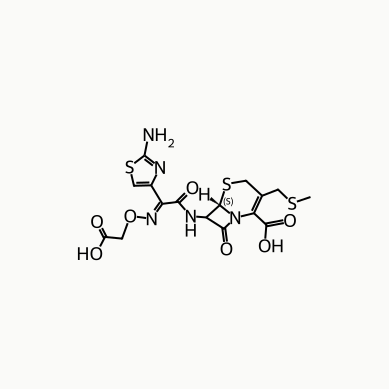 CSCC1=C(C(=O)O)N2C(=O)C(NC(=O)C(=NOCC(=O)O)c3csc(N)n3)[C@@H]2SC1